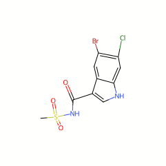 CS(=O)(=O)NC(=O)c1c[nH]c2cc(Cl)c(Br)cc12